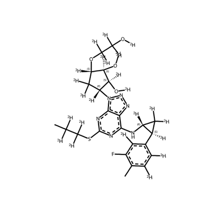 [2H]OC([2H])([2H])C([2H])([2H])O[C@@]1([2H])C([2H])([2H])[C@@]([2H])(n2nnc3c(N[C@]4([2H])C([2H])([2H])[C@@]4([2H])c4c([2H])c([2H])c(C)c(F)c4[2H])nc(SC([2H])([2H])C([2H])([2H])C)nc32)[C@]([2H])(O[2H])[C@]1([2H])O[2H]